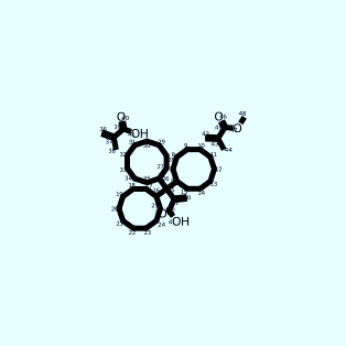 C=C(C(=O)O)C(C1CCCCCCCCC1)(C1CCCCCCCCC1)C1CCCCCCCCC1.C=C(C)C(=O)O.C=C(C)C(=O)OC